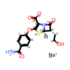 NC(=O)c1ccc(OC2=C(C(=O)[O-])N3C(=O)[C@H](CCO)[C@H]3S2)cc1.[Na+]